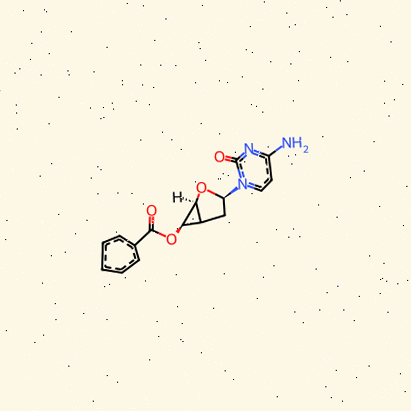 Nc1ccn([C@H]2CC3[C@@H](OC(=O)c4ccccc4)[C@H]3O2)c(=O)n1